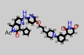 CC(=O)N1C(=O)C(C2CCCC2)c2nc(Nc3ccc(OCCCC4CCN(c5cccc(C6CCC(=O)NC6=O)c5)CC4)cn3)ccc2C1C